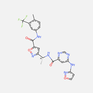 Cc1ccc(NC(=O)c2cc([C@@H](C)NC(=O)c3cc(Nc4ccon4)ncn3)no2)cc1C(F)(F)F